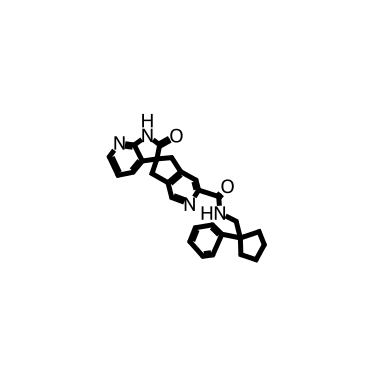 O=C(NCC1(c2ccccc2)CCCC1)c1cc2c(cn1)CC1(C2)C(=O)Nc2ncccc21